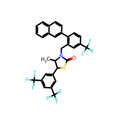 CC1C(c2cc(C(F)(F)F)cc(C(F)(F)F)c2)SC(=O)N1Cc1cc(C(F)(F)F)ccc1-c1ccc2ccccc2c1